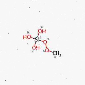 COO[Si](O)(O)O